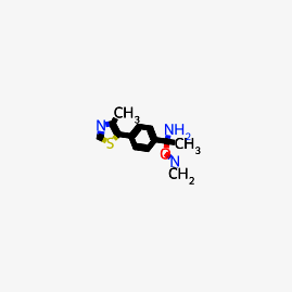 C=NOC(C)(N)c1ccc(-c2scnc2C)cc1